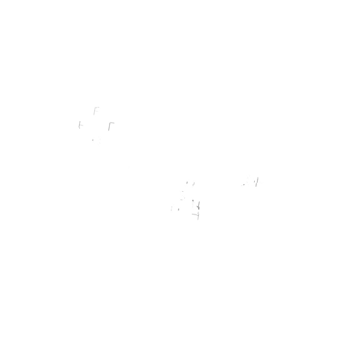 O=S(=O)(N[C@H]1CC[C@H](O)CC1)c1ccc(-c2ccc(OC(F)(F)F)cc2)cc1